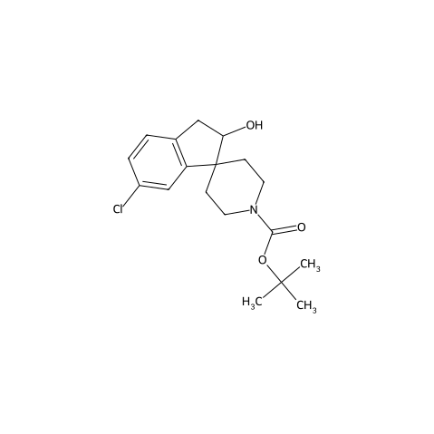 CC(C)(C)OC(=O)N1CCC2(CC1)c1cc(Cl)ccc1CC2O